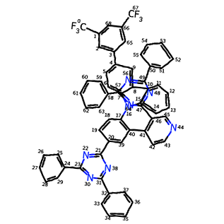 FC(F)(F)c1cc(-c2ccc3c(c2)c2ccccc2n3-c2ccc(-c3nc(-c4ccccc4)nc(-c4ccccc4)n3)cc2-c2ccncc2-c2nc(-c3ccccc3)nc(-c3ccccc3)n2)cc(C(F)(F)F)c1